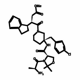 COC(=O)C[C@H](C(=O)N1CCC[C@](Cc2ccc(Cl)cc2)(NC(=O)[C@@H]2COC(C)(C)N2C(=O)[C@H](C)N)C1)[C@H]1CCc2ccccc21